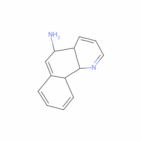 NC1C=C2C=CC=CC2C2N=CC=CC12